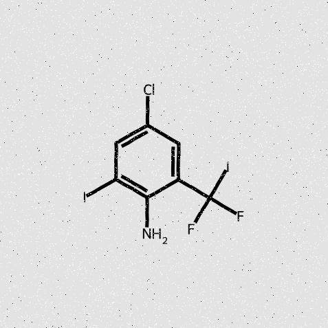 Nc1c(I)cc(Cl)cc1C(F)(F)I